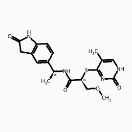 COC[C@H](Sc1nc(=O)[nH]cc1C)C(=O)N[C@@H](C)c1ccc2c(c1)CC(=O)N2